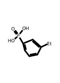 CCc1cccc(P(=O)(O)O)c1